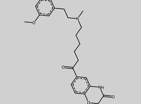 COc1cccc(CCN(C)CCCCCC(=O)c2ccc3c(c2)NC(=O)CO3)c1